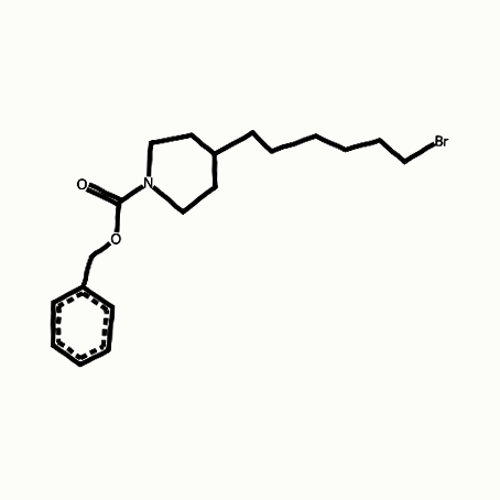 O=C(OCc1ccccc1)N1CCC(CCCCCCBr)CC1